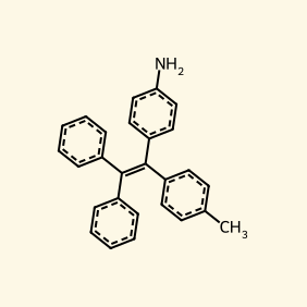 Cc1ccc(C(=C(c2ccccc2)c2ccccc2)c2ccc(N)cc2)cc1